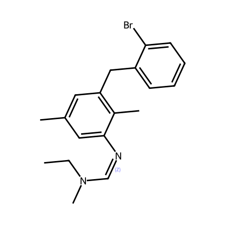 CCN(C)/C=N\c1cc(C)cc(Cc2ccccc2Br)c1C